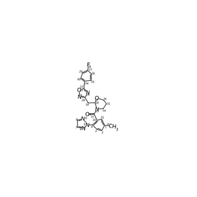 Cc1ccc(-n2nccn2)c(C(=O)N2CCCOC2Cc2noc(-c3ccc(F)cc3)n2)c1